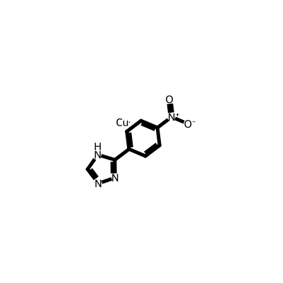 O=[N+]([O-])c1ccc(-c2nnc[nH]2)cc1.[Cu]